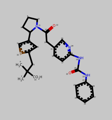 CC(C)(Cc1cc(C2CCCN2C(=O)Cc2ccc(NC(=O)Nc3ccccc3)nc2)cs1)C(=O)O